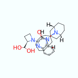 O=c1c(N2CC[C@@H]2C(O)O)nc2ccccc2n1[C@H]1C[C@H]2CCC[C@@H](C1)N2[C@@H]1C[C@@H]2CCCC[C@@H](C2)C1